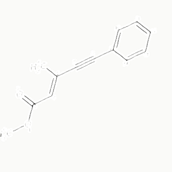 COC(=O)C=C(C)C#Cc1ccccc1